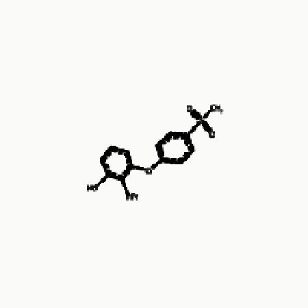 CCCc1c(O)cccc1Oc1ccc(S(C)(=O)=O)cc1